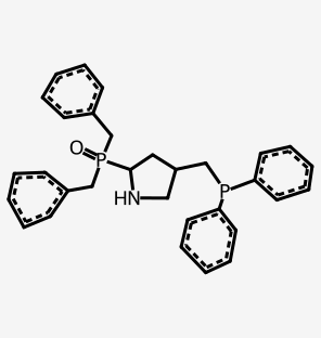 O=P(Cc1ccccc1)(Cc1ccccc1)C1CC(CP(c2ccccc2)c2ccccc2)CN1